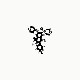 CC1(C)c2cc(OC3CCOCC3)c([S+]([O-])N3CCOCC3)cc2C(=O)c2c1[nH]c1cc(C#N)ccc21